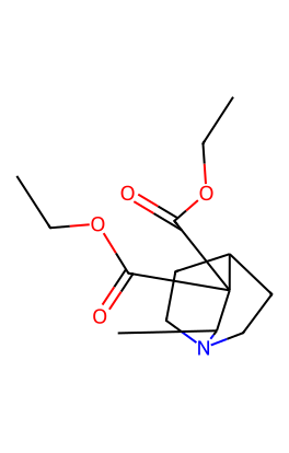 CCOC(=O)C1(C(=O)OCC)C2CCN(CC2)C1C